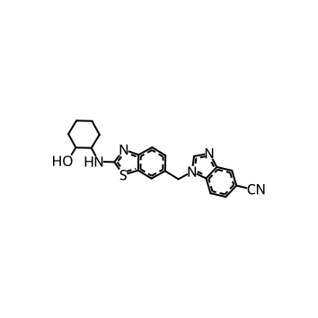 N#Cc1ccc2c(c1)ncn2Cc1ccc2nc(NC3CCCCC3O)sc2c1